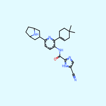 CC1(C)CC=C(c2nc(C3CC4CCC(C3)N4)ccc2NC(=O)c2ncc(C#N)[nH]2)CC1